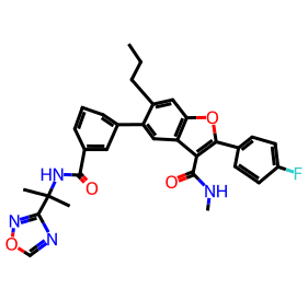 CCCc1cc2oc(-c3ccc(F)cc3)c(C(=O)NC)c2cc1-c1cccc(C(=O)NC(C)(C)c2ncon2)c1